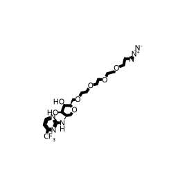 [N-]=[N+]=NCCOCCOCCOCCOC[C@H]1OC[C@H](Nc2nccc(C(F)(F)F)n2)[C@@H](O)[C@H]1O